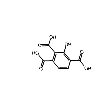 O=C(O)c1ccc(C(=O)O)c(C(=O)O)c1O